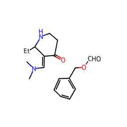 CCC1NCCC(=O)C1=CN(C)C.O=COCc1ccccc1